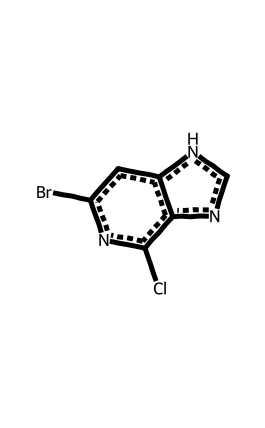 Clc1nc(Br)cc2[nH]cnc12